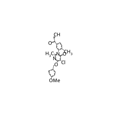 C#CC(=O)c1ccc(C)c(-n2c(C)nc(OCc3ccc(OC)cc3)c(Cl)c2=O)c1